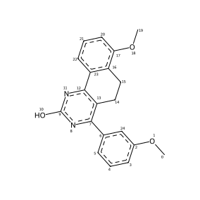 COc1cccc(-c2nc(O)nc3c2CCc2c(OC)cccc2-3)c1